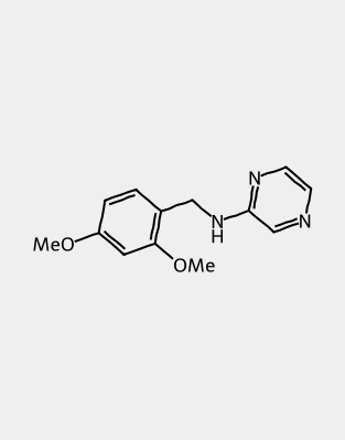 COc1ccc(CNc2cnccn2)c(OC)c1